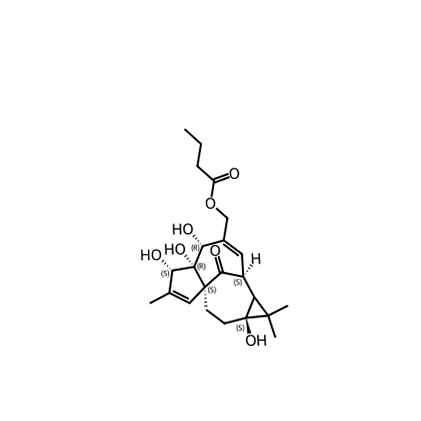 CCCC(=O)OCC1=C[C@@H]2C(=O)[C@]3(C=C(C)[C@H](O)[C@@]3(O)[C@@H]1O)CC[C@]1(O)C2C1(C)C